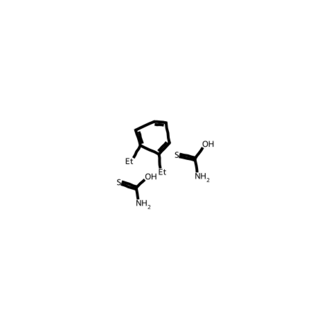 CCc1ccccc1CC.NC(O)=S.NC(O)=S